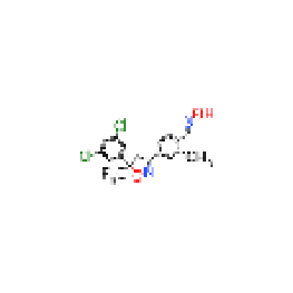 Cc1cc(C2=NOC(c3cc(Cl)cc(Cl)c3)(C(F)(F)F)C2)ccc1C=NO